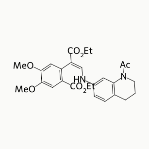 CCOC(=O)C(=CNc1ccc2c(c1)N(C(C)=O)CCC2)c1cc(OC)c(OC)cc1C(=O)OCC